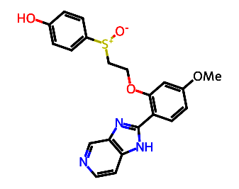 COc1ccc(-c2nc3cnccc3[nH]2)c(OCC[S+]([O-])c2ccc(O)cc2)c1